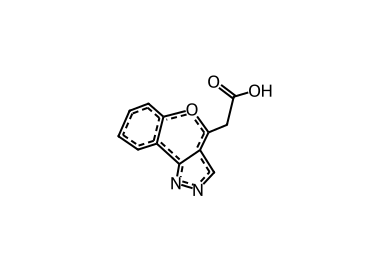 O=C(O)Cc1oc2ccccc2c2nncc1-2